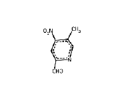 Cc1cnc(C=O)cc1[N+](=O)[O-]